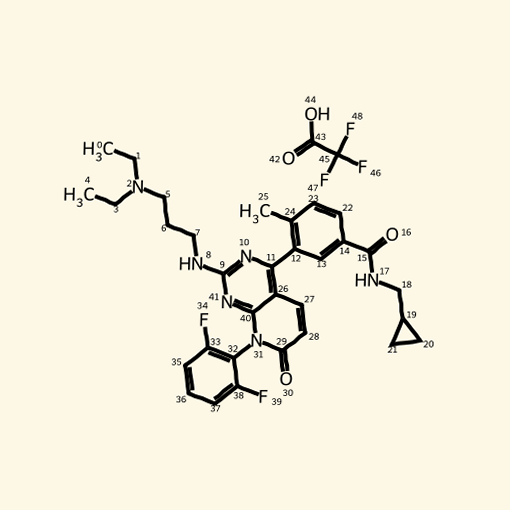 CCN(CC)CCCNc1nc(-c2cc(C(=O)NCC3CC3)ccc2C)c2ccc(=O)n(-c3c(F)cccc3F)c2n1.O=C(O)C(F)(F)F